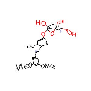 COc1cc(/C=C/C2C=CC(OC3OC(/C=C/O)[C@@H](O)C[C@H]3O)=CC2C)cc(OC)c1